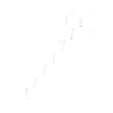 O=C(O)CCCCCCCNC(=O)c1cccc(O)c1O